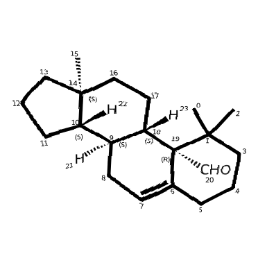 CC1(C)CCCC2=CC[C@H]3[C@@H]4CCC[C@@]4(C)CC[C@@H]3[C@]21C=O